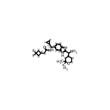 CC1(C)CC(C(N)c2nc3ccc([C@H](NC(=O)CC4CC(F)(F)C4)C4CC4)cc3[nH]2)CCO1